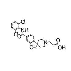 O=C(O)CCN1CCC2(CC1)COc1cc(C(=O)Nc3c(Cl)cccc3Cl)ccc12